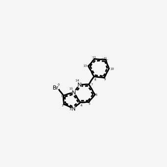 Brc1cnc2ccc(-c3cc[c]cc3)nn12